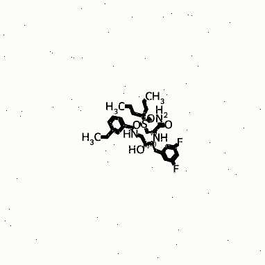 CCCC(CCC)S(=O)(=O)C[C@H](N[C@@H](Cc1cc(F)cc(F)c1)[C@H](O)CNCc1cccc(CC)c1)C(N)=O